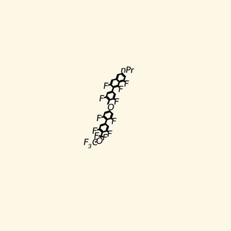 CCCc1cc(F)c2c(F)c(-c3cc(F)c(COc4cc(F)c(-c5cc(F)c(C(F)(F)OC(F)(F)F)c(F)c5)c(F)c4)c(F)c3)c(F)cc2c1